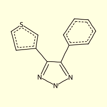 c1ccc(C2=N[N]N=C2c2ccsc2)cc1